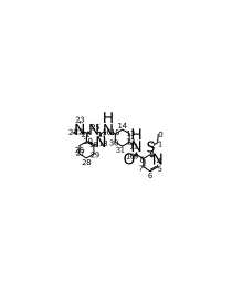 CCSc1ncccc1C(=O)NC1CCC(Nc2nc3c(c(N(C)C)n2)CCCC3)CC1